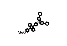 COc1ccc(-c2c3ccccc3c(-c3ccc(-n4c5ccc(C6CCCCC6)cc5c5cc(C6CCCCC6)ccc54)cc3)c3ccccc23)cc1